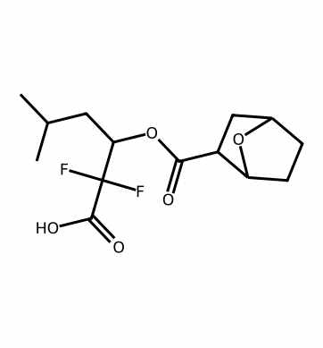 CC(C)CC(OC(=O)C1CC2CCC1O2)C(F)(F)C(=O)O